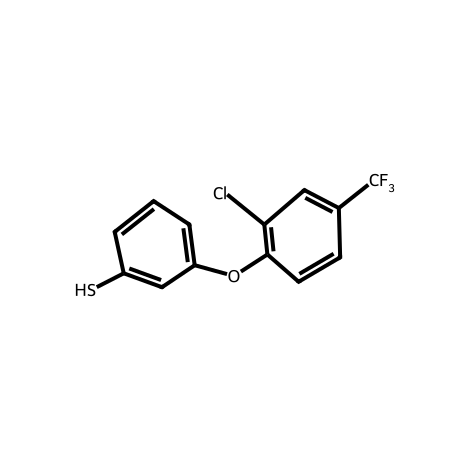 FC(F)(F)c1ccc(Oc2cccc(S)c2)c(Cl)c1